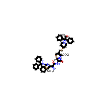 CON=C(C(=O)N[C@@H]1C(=O)N2C(C(=O)[O-])=C(CSc3cc[n+](C(C(=O)OC)(c4ccccc4)c4ccccc4)cc3)CS[C@H]12)c1csc(NC(c2ccccc2)(c2ccccc2)c2ccccc2)n1